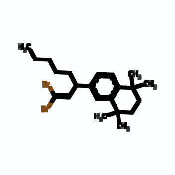 CCCCCC(C=C(Br)Br)c1ccc2c(c1)C(C)(C)CCC2(C)C